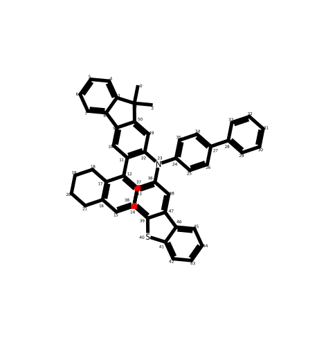 CC1(C)c2ccccc2-c2cc(-c3cccc4c3CCCC4)c(N(c3ccc(-c4ccccc4)cc3)c3ccc4sc5ccccc5c4c3)cc21